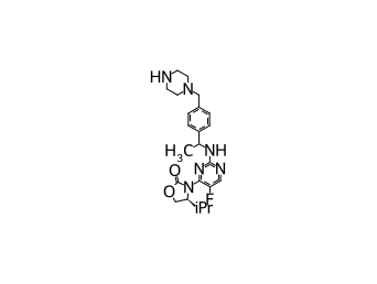 CC(Nc1ncc(F)c(N2C(=O)OC[C@@H]2C(C)C)n1)c1ccc(CN2CCNCC2)cc1